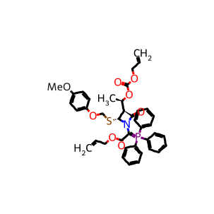 C=CCOC(=O)O[C@H](C)[C@H]1C(=O)N(C(C(=O)OCC=C)=P(c2ccccc2)(c2ccccc2)c2ccccc2)[C@@H]1SCOc1ccc(OC)cc1